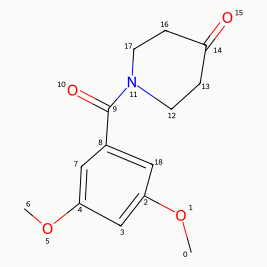 COc1cc(OC)cc(C(=O)N2CCC(=O)CC2)c1